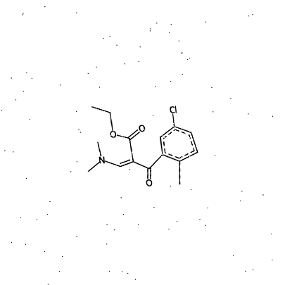 CCOC(=O)C(=CN(C)C)C(=O)c1cc(Cl)ccc1C